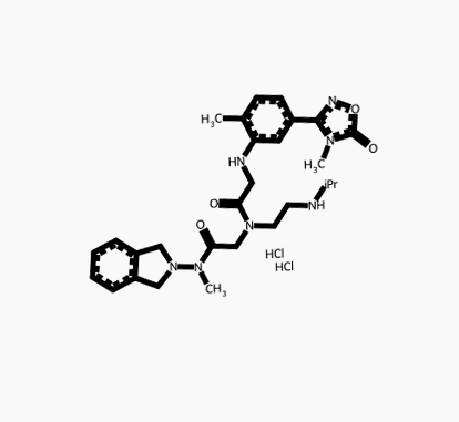 Cc1ccc(-c2noc(=O)n2C)cc1NCC(=O)N(CCNC(C)C)CC(=O)N(C)N1Cc2ccccc2C1.Cl.Cl